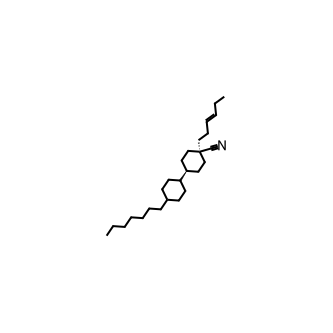 CC/C=C/CC[C@]1(C#N)CC[C@@H](C2CCC(CCCCCCC)CC2)CC1